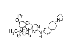 CC(C)Oc1ccc(Nc2nc(Nc3ccc4c(c3)CCC(N3CCCC3)CC4)ncc2Cl)c(P(C)(C)=O)c1